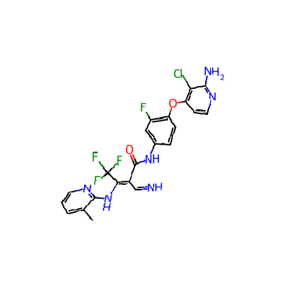 Cc1cccnc1N/C(=C(\C=N)C(=O)Nc1ccc(Oc2ccnc(N)c2Cl)c(F)c1)C(F)(F)F